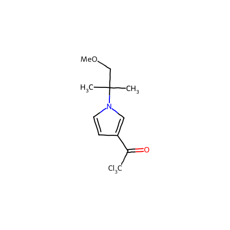 COCC(C)(C)n1ccc(C(=O)C(Cl)(Cl)Cl)c1